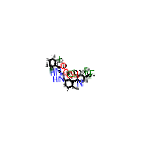 Cc1ccc(NC(=O)NC(=O)c2c(F)cccc2F)c(O)c1-c1ncc(C(F)(F)F)cc1Cl